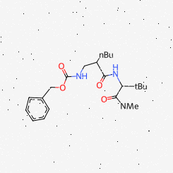 CCCCC(CNC(=O)OCc1ccccc1)C(=O)NC(C(=O)NC)C(C)(C)C